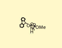 COC(=O)C(C)NC(=O)OCC1c2ccccc2-c2ccccc21